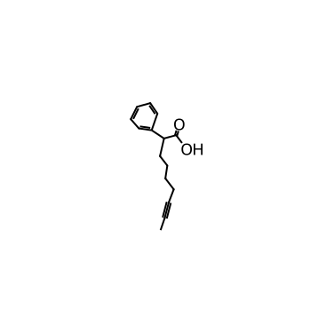 CC#CCCCCC(C(=O)O)c1ccccc1